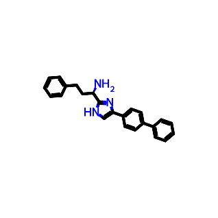 N[C@H](CCc1ccccc1)c1nc(-c2ccc(-c3ccccc3)cc2)c[nH]1